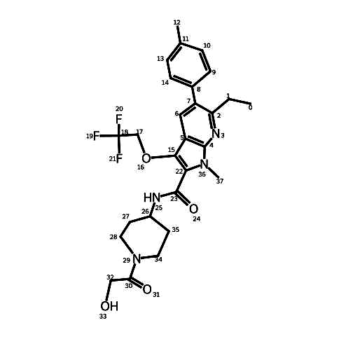 CCc1nc2c(cc1-c1ccc(C)cc1)c(OCC(F)(F)F)c(C(=O)NC1CCN(C(=O)CO)CC1)n2C